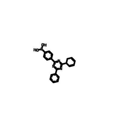 OB(O)c1ccc(-c2nc(-c3ccccc3)nc(C3C=CC=CC3)n2)cc1